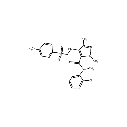 Cc1ccc(S(=O)(=O)CNc2c(C)nn(C)c2C(=O)N(C)c2cccnc2Cl)cc1